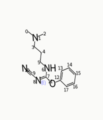 CN(C)CCCN/C(=N\C#N)Oc1ccccc1